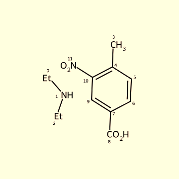 CCNCC.Cc1ccc(C(=O)O)cc1[N+](=O)[O-]